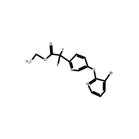 CCOC(=O)C(F)(F)c1ccc(Oc2ncccc2Br)cn1